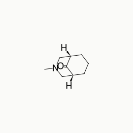 CN1C[C@H]2CCC[C@@H](C1)C2=O